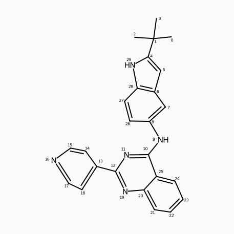 CC(C)(C)c1cc2cc(Nc3nc(-c4ccncc4)nc4ccccc34)ccc2[nH]1